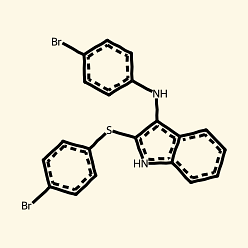 Brc1ccc(Nc2c(Sc3ccc(Br)cc3)[nH]c3ccccc23)cc1